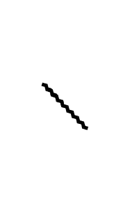 CCC=CC=CCCCCCCCCCCCC